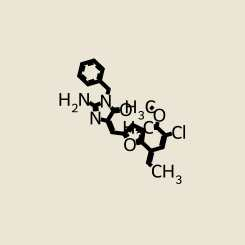 C=C(OC)/C(Cl)=C\C(=C/C)c1ccc(/C=C2/N=C(N)N(Cc3ccccc3)C2=O)o1